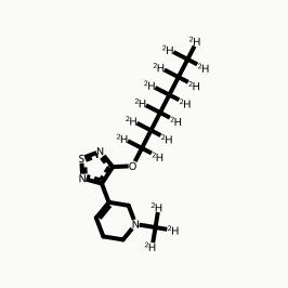 [2H]C([2H])([2H])N1CCC=C(c2nsnc2OC([2H])([2H])C([2H])([2H])C([2H])([2H])C([2H])([2H])C([2H])([2H])C([2H])([2H])[2H])C1